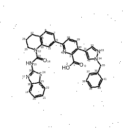 O=C(O)c1nc(-c2ccc3c(c2)N(C(=O)Nc2nc4ccccc4s2)CCC3)ccc1-c1cnn(Cc2ccccc2)c1